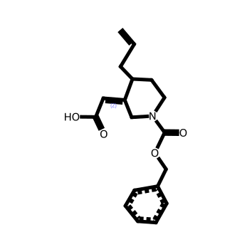 C=CCC1CCN(C(=O)OCc2ccccc2)C/C1=C\C(=O)O